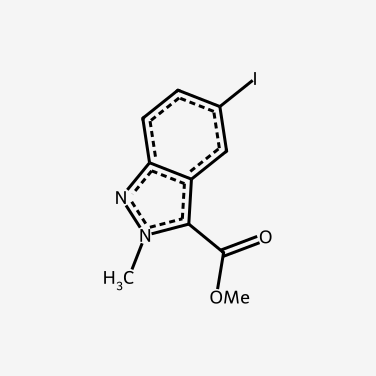 COC(=O)c1c2cc(I)ccc2nn1C